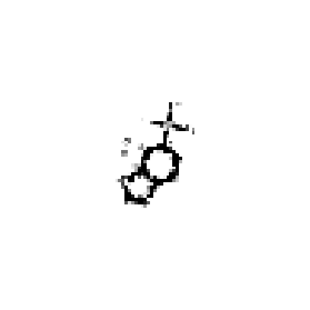 F[B-](F)(F)c1ccc2ncsc2c1.[K+]